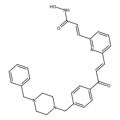 O=C(C=Cc1cccc(C=CC(=O)c2ccc(CN3CCN(Cc4ccccc4)CC3)cc2)n1)NO